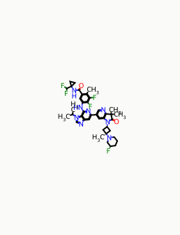 Cc1c(C(=O)NC2(C(F)F)CC2)cc(Nc2nc(-c3cnc4c(c3)N([C@H]3C[C@@](C)(N5CCC[C@@H](F)C5)C3)C(=O)C4(C)C)cc3ncn(C(C)C)c23)c(F)c1F